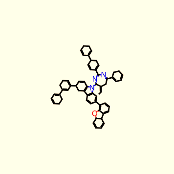 C/C=C1/CC(C2=CC=CCC2)=NC(C2=CCC(C3=CCCC=C3)C=C2)=NC1n1c2c(c3ccc(-c4cccc5c4OC4C=CC=CC54)cc31)CC(C1=CCCC(C3=CC=CCC3)=C1)C=C2